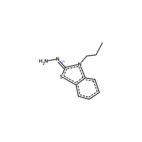 CCCn1/c(=N/N)sc2ccccc21